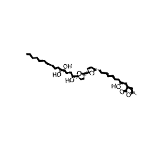 CCCCCCCCCC[C@H](O)[C@H](O)CC[C@@H](O)[C@H]1CC[C@@H]([C@H]2CC[C@H](CCCCCCC[C@@H](O)CC3=C[C@H](C)OC3=O)O2)O1